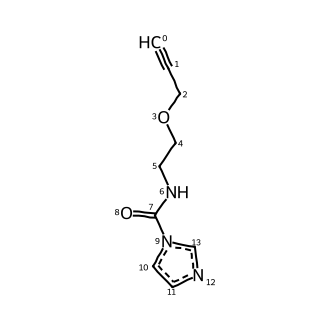 C#CCOCCNC(=O)n1ccnc1